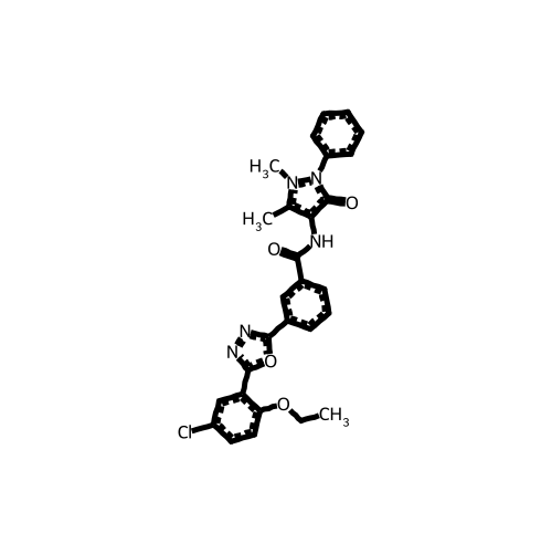 CCOc1ccc(Cl)cc1-c1nnc(-c2cccc(C(=O)Nc3c(C)n(C)n(-c4ccccc4)c3=O)c2)o1